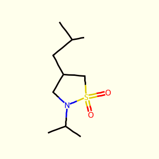 CC(C)CC1CN(C(C)C)S(=O)(=O)C1